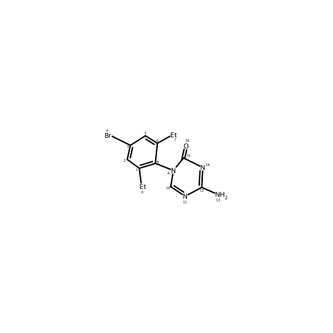 CCc1cc(Br)cc(CC)c1-n1cnc(N)nc1=O